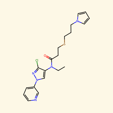 CCN(C(=O)CCSCCCn1cccc1)c1cn(-c2cccnc2)nc1Cl